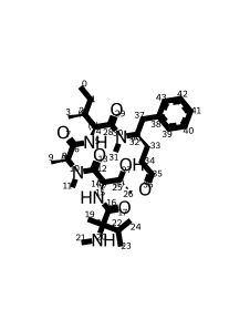 CC[C@H](C)[C@H](NC(=O)[C@H](C)N(C)C(=O)[C@@H](NC(=O)C(C)(NC)C(C)C)[C@@H](C)O)C(=O)N(C)[C@H](CCC=O)Cc1ccccc1